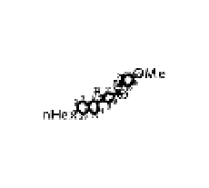 CCCCCCC1CCC2CC(c3ccc(C(=O)Oc4ccc(OC)cc4)cc3F)CCC2C1